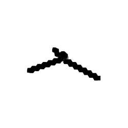 CCCCCCCCCCCCCC[n+]1ccn(CCC)c1CCCCCCCCCCCC